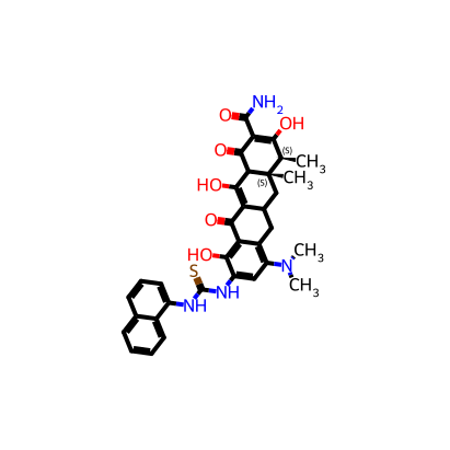 C[C@@H]1C(O)=C(C(N)=O)C(=O)C2C(O)=C3C(=O)c4c(O)c(NC(=S)Nc5cccc6ccccc56)cc(N(C)C)c4CC3C[C@]21C